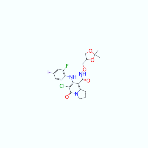 CC1(C)OCC(CONC(=O)c2c(Nc3ccc(I)cc3F)c(Cl)c(=O)n3c2CCC3)O1